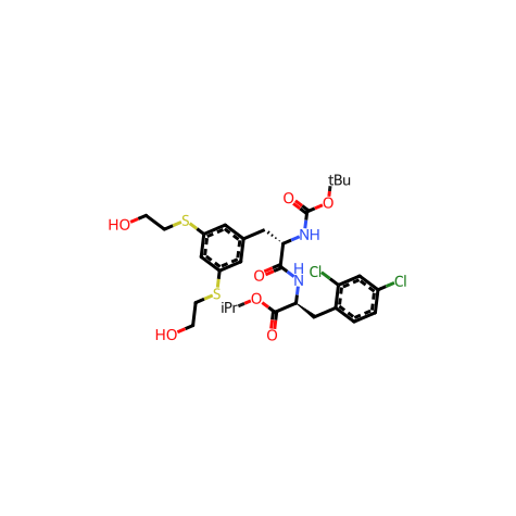 CC(C)OC(=O)[C@H](Cc1ccc(Cl)cc1Cl)NC(=O)[C@H](Cc1cc(SCCO)cc(SCCO)c1)NC(=O)OC(C)(C)C